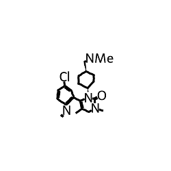 C=Nc1ccc(Cl)cc1C1=C(C)CN(C)C(=O)N1[C@H]1CC[C@H](CNC)CC1